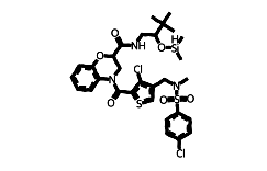 CN(Cc1csc(C(=O)N2CC(C(=O)NCC(O[SiH](C)C)C(C)(C)C)Oc3ccccc32)c1Cl)S(=O)(=O)c1ccc(Cl)cc1